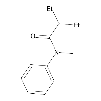 CCC(CC)C(=O)N(C)c1ccccc1